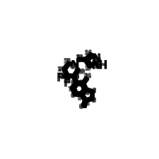 C=C1CCc2c1ccc(C1CN(Cc3cn[nH]c3)CCC1(F)F)c2C